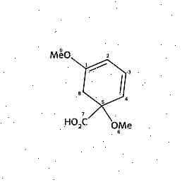 COC1=CC=CC(OC)(C(=O)O)C1